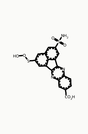 NS(=O)(=O)c1cc2c3c(cc(SOO)cc3c1)-c1nc3cc(C(=O)O)ccc3nc1-2